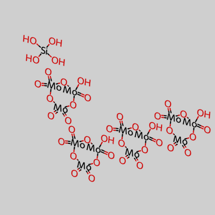 O[Si](O)(O)O.[O]=[Mo]1([OH])[O][Mo](=[O])(=[O])[O][Mo](=[O])(=[O])[O]1.[O]=[Mo]1([OH])[O][Mo](=[O])(=[O])[O][Mo](=[O])(=[O])[O]1.[O]=[Mo]1([OH])[O][Mo](=[O])(=[O])[O][Mo](=[O])(=[O])[O]1.[O]=[Mo]1([OH])[O][Mo](=[O])(=[O])[O][Mo](=[O])(=[O])[O]1